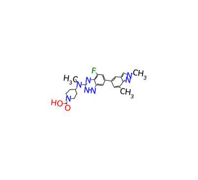 Cc1cc(-c2cc(F)c3nc(N(C)C4CCN(C(=O)O)CC4)nnc3c2)cc2cn(C)nc12